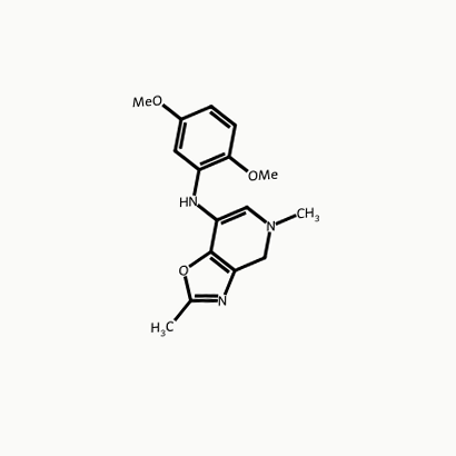 COc1ccc(OC)c(NC2=CN(C)Cc3nc(C)oc32)c1